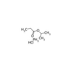 CCC(=O)OC(C)C.Cl.P